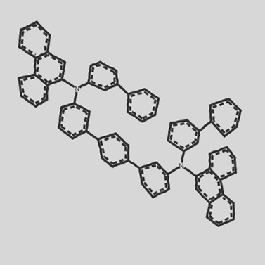 c1ccc(-c2cccc(N(c3cccc(-c4ccc(-c5cccc(N(c6cccc(-c7ccccc7)c6)c6cc7ccccc7c7ccccc67)c5)cc4)c3)c3cc4ccccc4c4ccccc34)c2)cc1